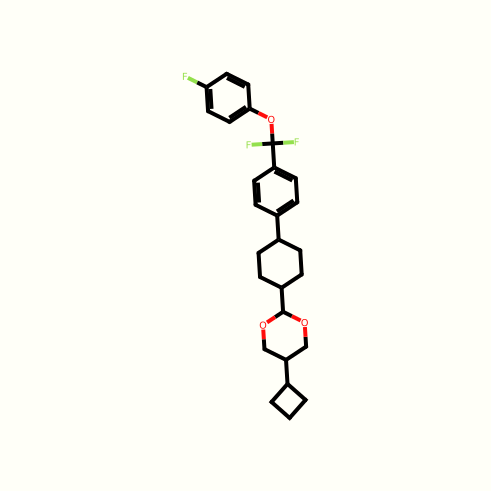 Fc1ccc(OC(F)(F)c2ccc(C3CCC(C4OCC(C5CCC5)CO4)CC3)cc2)cc1